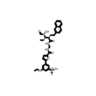 CCOc1cc(-c2ccc(C(=O)NCNC(=O)[C@H](CCc3ccc4ccccc4c3)[C@@H](CC)N(O)C=O)o2)cc([PH](=O)O)c1